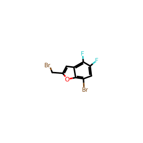 Fc1cc(Br)c2oc(CBr)cc2c1F